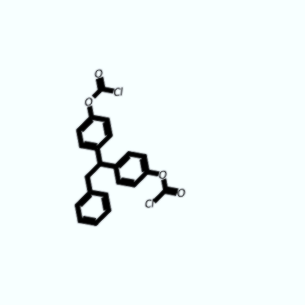 O=C(Cl)Oc1ccc(C(Cc2ccccc2)c2ccc(OC(=O)Cl)cc2)cc1